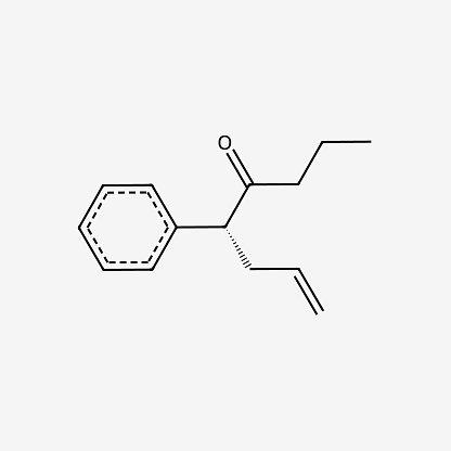 C=CC[C@@H](C(=O)CCC)c1ccccc1